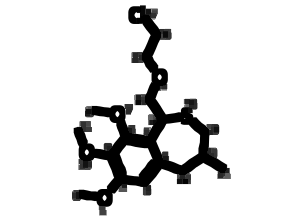 COc1cc2c(c(OC)c1OC)C(COCCCl)SCC(C)C2